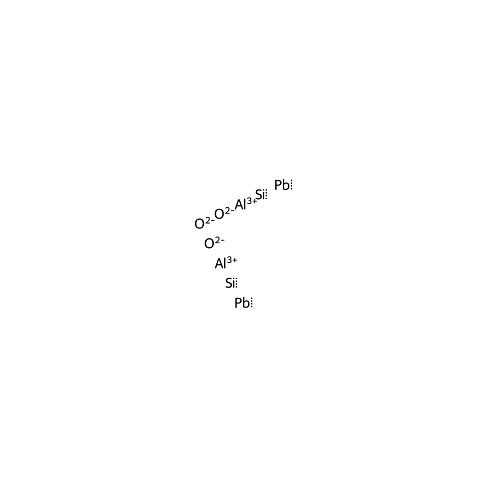 [Al+3].[Al+3].[O-2].[O-2].[O-2].[Pb].[Pb].[Si].[Si]